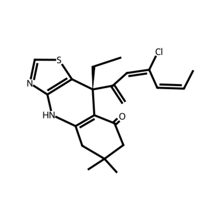 C=C(/C=C(Cl)\C=C/C)[C@]1(CC)C2=C(CC(C)(C)CC2=O)Nc2ncsc21